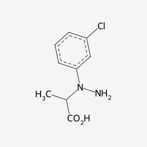 CC(C(=O)O)N(N)c1cccc(Cl)c1